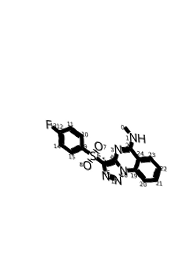 CNc1nc2c(S(=O)(=O)c3ccc(F)cc3)nnn2c2ccccc12